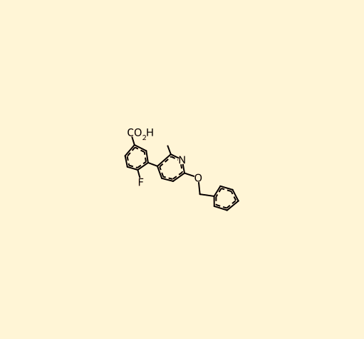 Cc1nc(OCc2ccccc2)ccc1-c1cc(C(=O)O)ccc1F